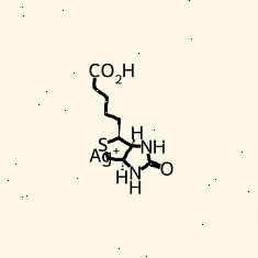 O=C(O)CCCC[C@@H]1SC[C@@H]2NC(=O)N[C@@H]21.[Ag+]